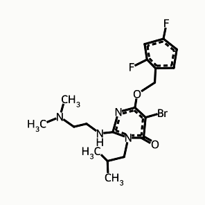 CC(C)Cn1c(NCCN(C)C)nc(OCc2ccc(F)cc2F)c(Br)c1=O